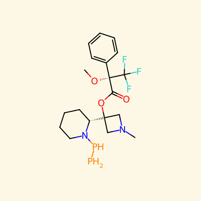 CO[C@](C(=O)OC1([C@H]2CCCCN2PP)CN(C)C1)(c1ccccc1)C(F)(F)F